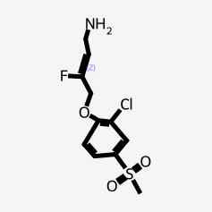 CS(=O)(=O)c1ccc(OC/C(F)=C/CN)c(Cl)c1